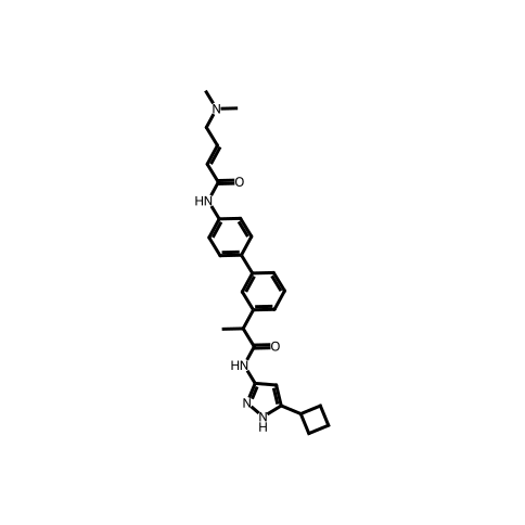 CC(C(=O)Nc1cc(C2CCC2)[nH]n1)c1cccc(-c2ccc(NC(=O)/C=C/CN(C)C)cc2)c1